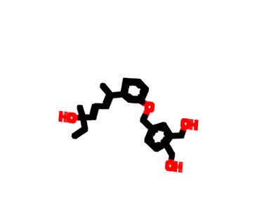 CCC(C)(O)C=CC=C(C)c1cccc(OCc2ccc(CO)c(CO)c2)c1